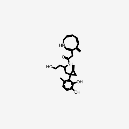 C=C1/C=C\C=C/CN/C=C\1CC(=O)NC(CCO)CC1(c2c(C)ccc(O)c2O)CC1=C